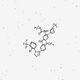 C=CC(=O)Nc1cc(Nc2cc(N3OCCC3c3cccc(C(F)(F)F)c3F)ncn2)c(OC)cc1-c1cnn(C)c1